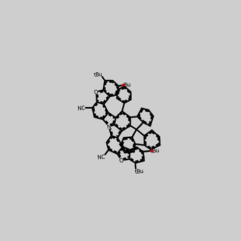 CC(C)(C)c1cc(C(C)(C)C)c2oc3c(C#N)cc4c(c5c(-c6ccccc6)c6c(c7c8c9c(oc%10c(C(C)(C)C)cc(C(C)(C)C)cc%109)c(C#N)cc8n4c57)C4(c5ccccc5-c5ccccc54)c4ccccc4-6)c3c2c1